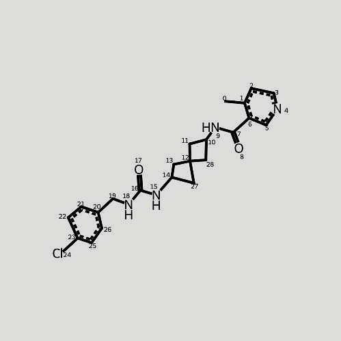 Cc1ccncc1C(=O)NC1CC2(CC(NC(=O)NCc3ccc(Cl)cc3)C2)C1